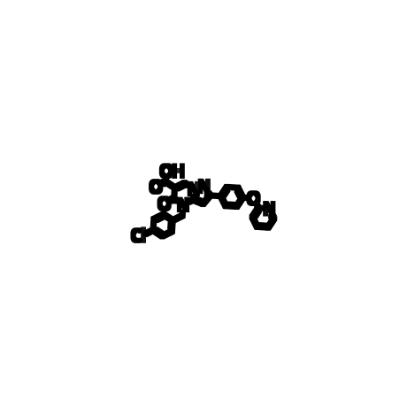 O=C(O)c1cn2nc(-c3ccc(Oc4ccccn4)cc3)cc2n(Cc2ccc(Cl)cc2)c1=O